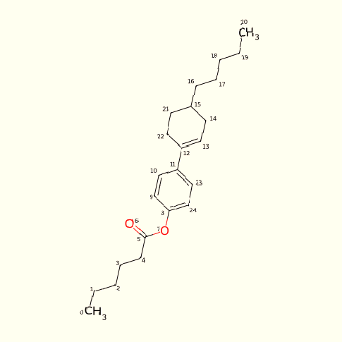 CCCCCC(=O)Oc1ccc(C2=CCC(CCCCC)CC2)cc1